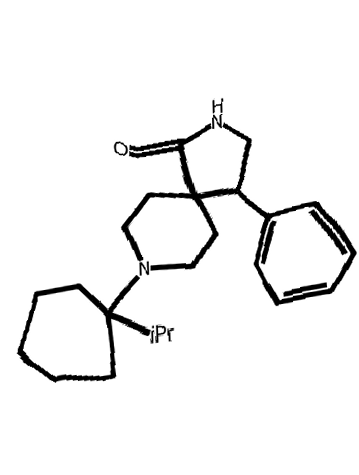 CC(C)C1(N2CCC3(CC2)C(=O)NCC3c2ccccc2)CCCCC1